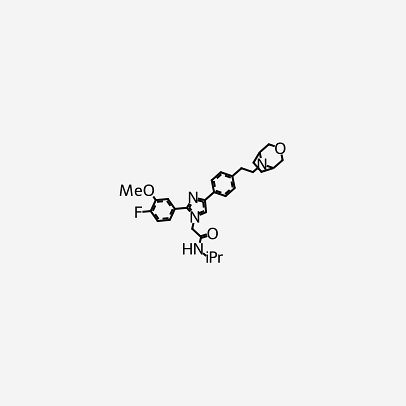 COc1cc(-c2nc(-c3ccc(CCN4C5CCC4COC5)cc3)cn2CC(=O)NC(C)C)ccc1F